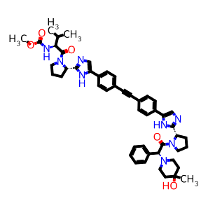 COC(=O)N[C@H](C(=O)N1CCC[C@H]1c1ncc(-c2ccc(C#Cc3ccc(-c4cnc([C@@H]5CCCN5C(=O)[C@@H](c5ccccc5)N5CCC(C)(O)CC5)[nH]4)cc3)cc2)[nH]1)C(C)C